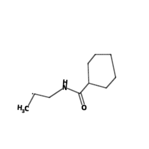 C[CH]CNC(=O)C1CCCCC1